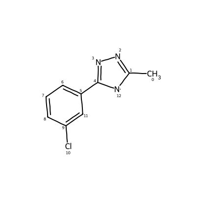 CC1=NN=C(c2cccc(Cl)c2)[N]1